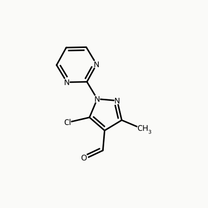 Cc1nn(-c2ncccn2)c(Cl)c1C=O